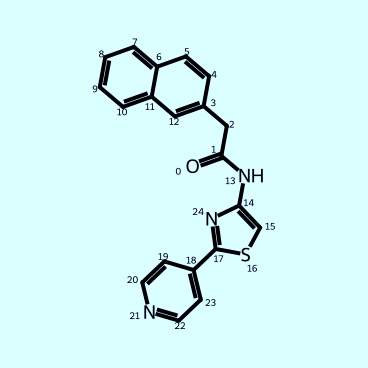 O=C(Cc1ccc2ccccc2c1)Nc1csc(-c2ccncc2)n1